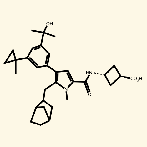 Cn1c(C(=O)N[C@H]2C[C@H](C(=O)O)C2)cc(-c2cc(C(C)(C)O)cc(C3(C)CC3)c2)c1CC1CC2CCC1C2